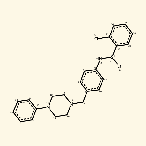 [O-][S+](Nc1ccc(CN2CCN(c3ccccc3)CC2)cc1)c1ccccc1Cl